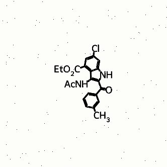 CCOC(=O)c1cc(Cl)cc2[nH]c(C(=O)c3cccc(C)c3)c(NC(C)=O)c12